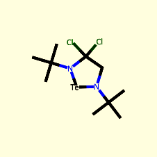 CC(C)(C)N1CC(Cl)(Cl)N(C(C)(C)C)[Te]1